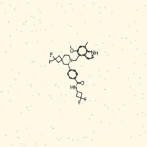 COc1cc(C)c2[nH]ccc2c1CN1CCC2(CC1c1ccc(C(=O)NC3CC(F)(F)C3)cc1)CC(F)(F)C2